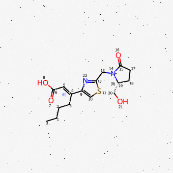 CCCC/C(=C\C(=O)O)c1csc(CN2C(=O)CC[C@@H]2CO)n1